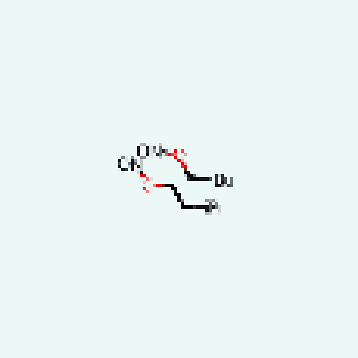 CC(C)CCON=O.CCC(C)CON=O